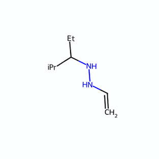 C=CNNC(CC)C(C)C